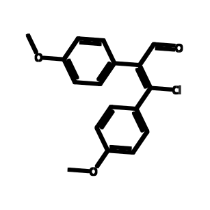 COc1ccc(/C(Cl)=C(/C=O)c2ccc(OC)cc2)cc1